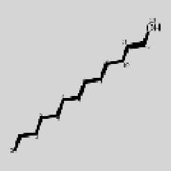 CCCCCCCCCCCC=CO